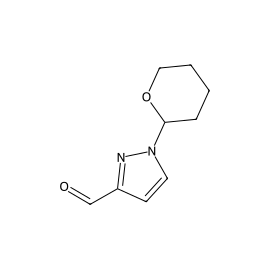 O=Cc1ccn(C2CCCCO2)n1